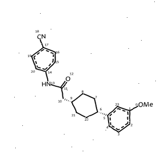 COc1cccc([C@H]2CC[C@@H](CC(=O)Nc3ccc(C#N)cc3)CC2)c1